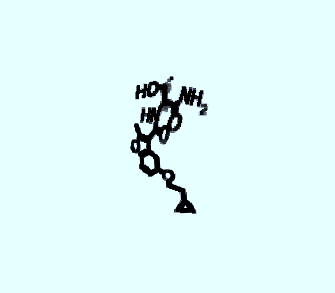 Cc1oc2ccc(OCCC3CC3)cc2c1C(=O)N[C@H](C(N)=O)[C@@H](C)O